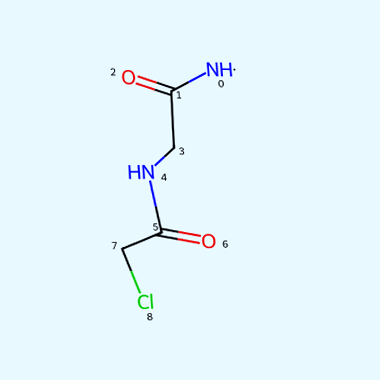 [NH]C(=O)CNC(=O)CCl